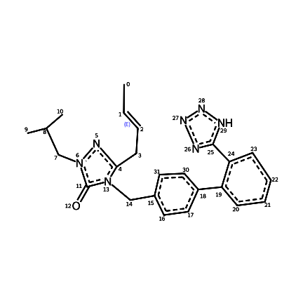 C/C=C/Cc1nn(CC(C)C)c(=O)n1Cc1ccc(-c2ccccc2-c2nnn[nH]2)cc1